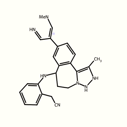 CN/C=C(\C=N)c1ccc2c(c1)C(Nc1ccccc1CC#N)CCN1NNC(C)=C21